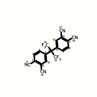 N#Cc1ccc(C(c2ccc(C#N)c(C#N)c2)(C(F)(F)F)C(F)(F)F)cc1C#N